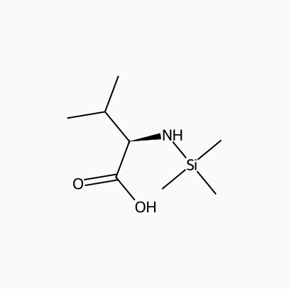 CC(C)[C@@H](N[Si](C)(C)C)C(=O)O